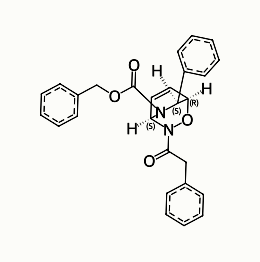 O=C(Cc1ccccc1)N1O[C@@H]2C=C[C@H]1N(C(=O)OCc1ccccc1)[C@H]2c1ccccc1